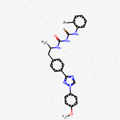 CC(Cc1ccc(-c2ncn(-c3ccc(OC(F)(F)F)cc3)n2)cc1)NC(=O)NC(=S)Nc1ccccc1C(C)C